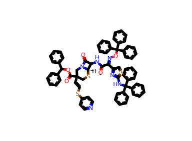 O=C(NC1C(=O)N2CC(C=CSc3ccncc3)(C(=O)OC(c3ccccc3)c3ccccc3)CS[C@H]12)C(=NOC(c1ccccc1)(c1ccccc1)c1ccccc1)c1csc(NC(c2ccccc2)(c2ccccc2)c2ccccc2)n1